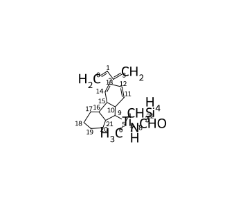 C=CC=C.[CH3][Ti]([CH3])([NH]C=O)[CH]1C2C=CC=CC2C2CCCCC21.[SiH4]